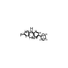 Fc1cnc2c(c1)CNc1cc(C3COCCO3)ccc1N2